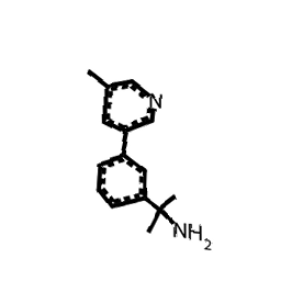 Cc1cncc(-c2cccc(C(C)(C)N)c2)c1